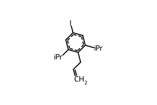 C=CCc1c(C(C)C)cc(I)cc1C(C)C